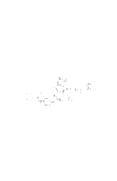 CCCN(CCNC(=O)CN(C)C)c1nc(Sc2ccc(NC(=O)C3CCCC3)cc2)nc(Nc2cc(C)[nH]n2)c1OCC